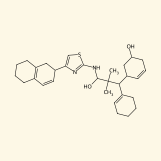 CC(C)(C(O)Nc1nc(C2C=CC3=C(CCCC3)C2)cs1)C(C1=CCCCC1)C1C=CCC(O)C1